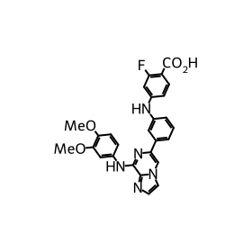 COc1ccc(Nc2nc(-c3cccc(Nc4ccc(C(=O)O)c(F)c4)c3)cn3ccnc23)cc1OC